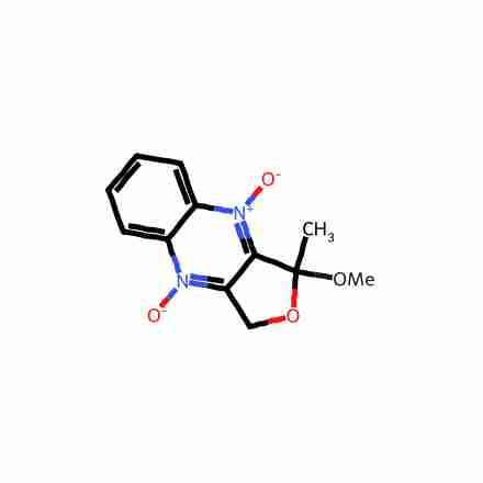 COC1(C)OCc2c1[n+]([O-])c1ccccc1[n+]2[O-]